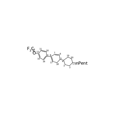 CCCCCC1CCC(C2C=CC(c3ccc(OC(F)(F)F)cc3)=CC2)CC1